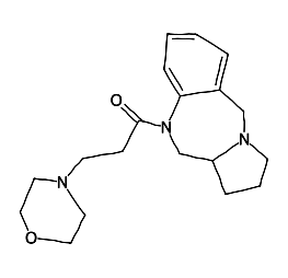 O=C(CCN1CCOCC1)N1CC2CCCN2Cc2ccccc21